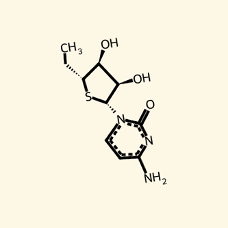 CC[C@H]1S[C@@H](n2ccc(N)nc2=O)[C@H](O)[C@@H]1O